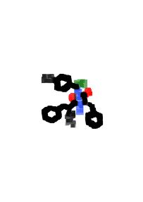 Cl.N#Cc1ccc(CNC(=O)[C@H](Cc2ccccc2)NC(=O)[C@H]([AsH2])CC2CCCCC2)cc1